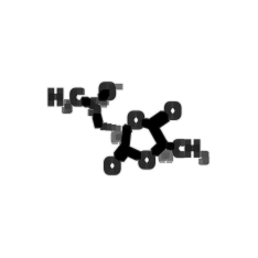 C[C@H]1OC(=O)[C@H](C[S+](C)[O-])OC1=O